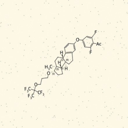 CC(=O)c1c(F)cc(Oc2ccc3c(c2)CC[C@@H]2[C@@H]3CC[C@]3(C)[C@@H](OCCCOC(C(F)(F)F)(C(F)(F)F)C(F)(F)F)CC[C@@H]23)cc1F